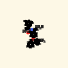 Cc1cc(C)cc(C(CC(C)C)NC(=O)c2cc(OCc3ccccc3-c3ccc(C(F)(F)F)cc3)ccc2CCC(=O)O)c1